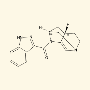 O=C(c1n[nH]c2ccccc12)N1C2=CN3CC[C@H]2C[C@H]1C3